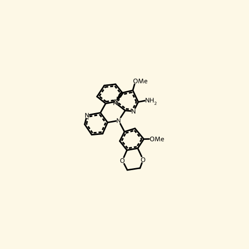 COc1cnc(N(c2cc(OC)c3c(c2)OCCO3)c2cccnc2-c2ccccn2)nc1N